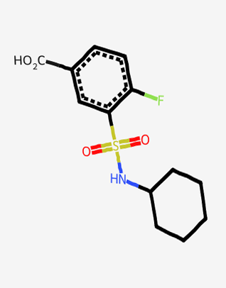 O=C(O)c1ccc(F)c(S(=O)(=O)NC2CCCCC2)c1